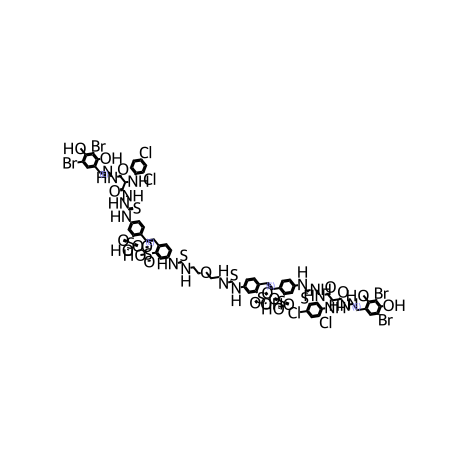 O=C(N/N=C/c1cc(Br)c(O)c(Br)c1O)C(Nc1ccc(Cl)cc1Cl)C(=O)NNC(=S)Nc1ccc(/C=C/c2ccc(NC(=S)NCCOCCNC(=S)Nc3ccc(/C=C/c4ccc(NC(=S)NNC(=O)C(Nc5ccc(Cl)cc5Cl)C(=O)N/N=C/c5cc(Br)c(O)c(Br)c5O)cc4S(=O)(=O)O)c(S(=O)(=O)O)c3)cc2S(=O)(=O)O)c(S(=O)(=O)O)c1